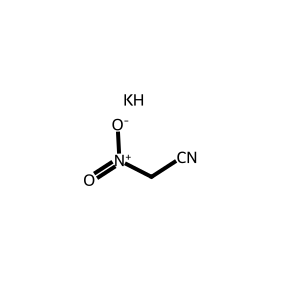 N#CC[N+](=O)[O-].[KH]